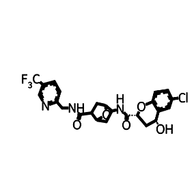 O=C(NCc1ccc(C(F)(F)F)cn1)C1CC2OC1CC2NC(=O)[C@H]1C[C@@H](O)c2cc(Cl)ccc2O1